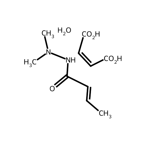 CC=CC(=O)NN(C)C.O.O=C(O)/C=C\C(=O)O